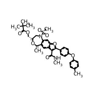 CNC(=O)c1c(-c2ccc(Oc3ccc(C)cc3)cc2)oc2cc3c(cc12)[C@H](C)O[C@H](COC(=O)C(C)(C)C)CN3S(C)(=O)=O